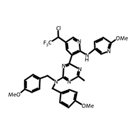 COc1ccc(CN(Cc2ccc(OC)cc2)c2nc(C)nc(-c3cc(C(Cl)C(F)(F)F)cnc3Nc3ccc(OC)nc3)n2)cc1